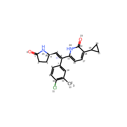 O=C1CC[C@H](/C=C(\c2ccc(Cl)c(C(F)(F)F)c2)c2ccc(C3CC3)c(=O)[nH]2)N1